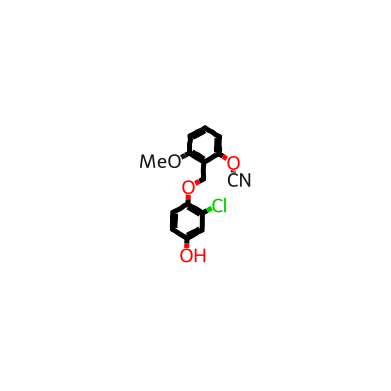 COc1cccc(OC#N)c1COc1ccc(O)cc1Cl